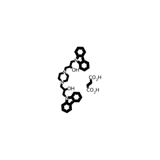 O=C(O)C=CC(=O)O.OC(CN1CCN(CC(O)Cn2c3ccccc3c3ccccc32)CC1)Cn1c2ccccc2c2ccccc21